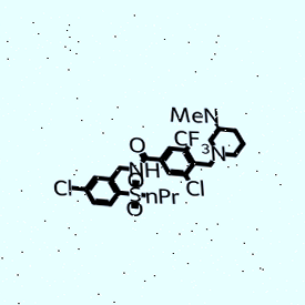 CCCS(=O)(=O)c1ccc(Cl)cc1CNC(=O)c1cc(Cl)c(CN2CCC[C@H](NC)C2)c(C(F)(F)F)c1